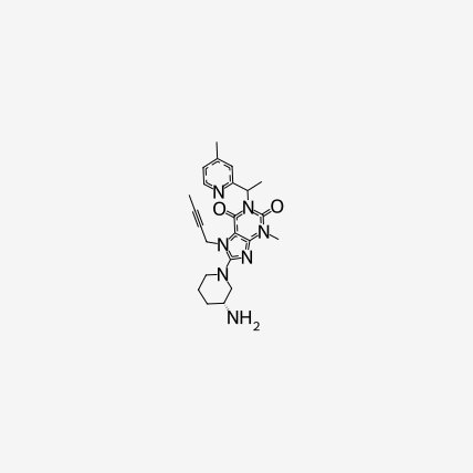 CC#CCn1c(N2CCC[C@@H](N)C2)nc2c1c(=O)n(C(C)c1cc(C)ccn1)c(=O)n2C